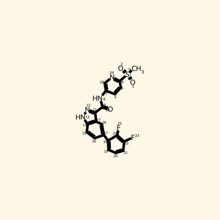 CS(=O)(=O)c1ccc(NC(=O)c2n[nH]c3ccc(-c4cccc(F)c4F)cc23)cn1